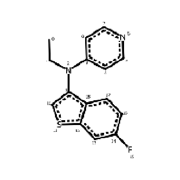 CCN(c1ccncc1)c1csc2cc(F)ccc12